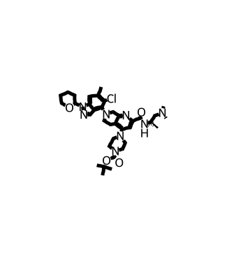 Cc1cc2c(cnn2C2CCCCO2)c(N2CCc3c(N4CCN(C(=O)OC(C)(C)C)CC4)cc(C(=O)N[C@H](C)CN(C)C)nc3C2)c1Cl